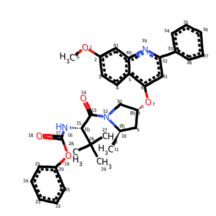 COc1ccc2c(O[C@@H]3C[C@@H](C)N(C(=O)[C@@H](NC(=O)Oc4ccccc4)C(C)(C)C)C3)cc(-c3ccccc3)nc2c1